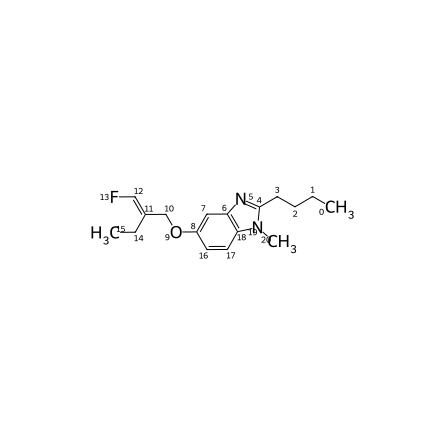 CCCCc1nc2cc(OC/C(=C/F)CC)ccc2n1C